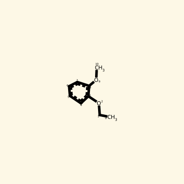 CCOc1[c]cccc1OC